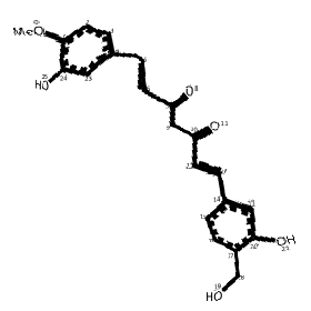 COc1ccc(/C=C/C(=O)CC(=O)/C=C/c2ccc(CO)c(O)c2)cc1O